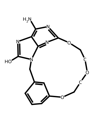 Nc1nc2nc3c1nc(O)n3Cc1cccc(c1)OCCOCCO2